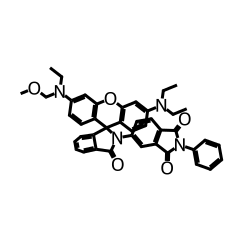 CCN(CC)c1ccc2c(c1)Oc1cc(N(CC)COC)ccc1C21c2ccccc2C(=O)N1c1ccc2c(c1)C(=O)N(c1ccccc1)C2=O